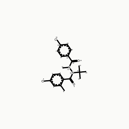 Cc1cc(Cl)ccc1C(=O)N(N(C)C(=O)c1ccc(Cl)cc1)C(C)(C)C